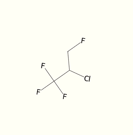 FCC(Cl)C(F)(F)F